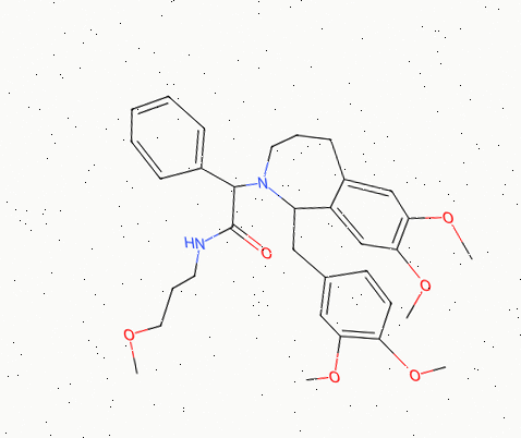 COCCCNC(=O)C(c1ccccc1)N1CCCc2cc(OC)c(OC)cc2C1Cc1ccc(OC)c(OC)c1